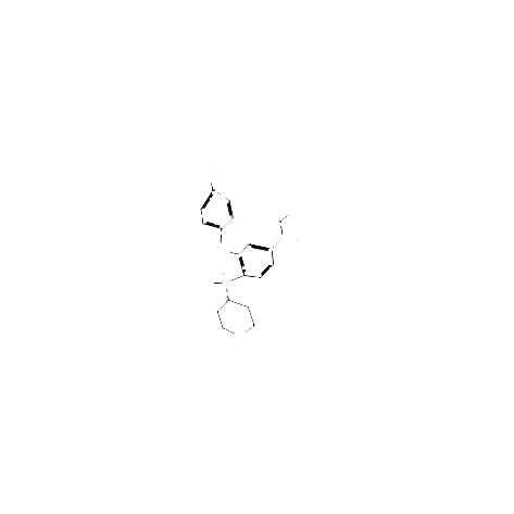 CC[C@@H](CC(=O)O)c1ccc(N(CC)C2CCOCC2)c(Nc2ccc(C#N)cc2)c1